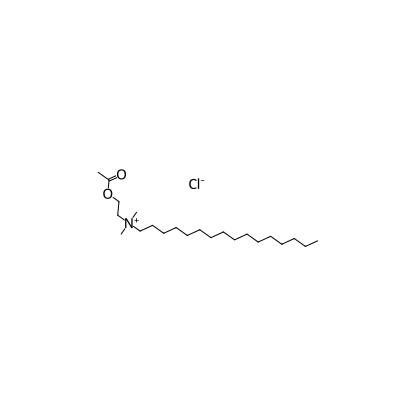 CCCCCCCCCCCCCCCC[N+](C)(C)CCOC(C)=O.[Cl-]